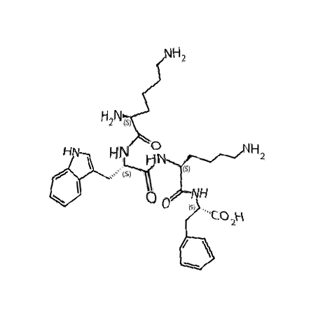 NCCCC[C@H](NC(=O)[C@H](Cc1c[nH]c2ccccc12)NC(=O)[C@@H](N)CCCCN)C(=O)N[C@@H](Cc1ccccc1)C(=O)O